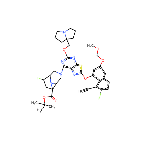 C#Cc1c(F)ccc2cc(OCOC)cc(Oc3nc4c(N5CC6C(F)CC7(C(=O)OC(C)(C)C)C(C5)N67)nc(OCC56CCCN5CCC6)nc4s3)c12